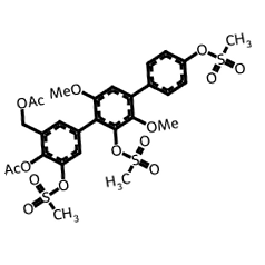 COc1cc(-c2ccc(OS(C)(=O)=O)cc2)c(OC)c(OS(C)(=O)=O)c1-c1cc(COC(C)=O)c(OC(C)=O)c(OS(C)(=O)=O)c1